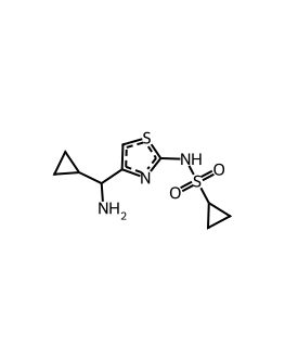 NC(c1csc(NS(=O)(=O)C2CC2)n1)C1CC1